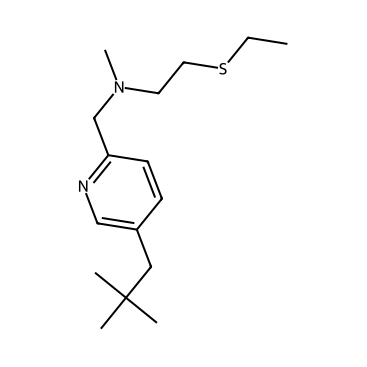 CCSCCN(C)Cc1ccc(CC(C)(C)C)cn1